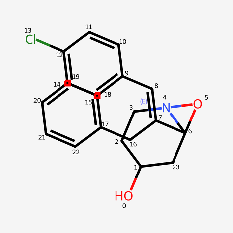 OC1CCN2OC2(/C(=C/c2ccc(Cl)cc2)Cc2ccccc2)C1